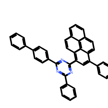 c1ccc(-c2ccc(-c3nc(-c4ccccc4)nc(-c4cc(-c5ccccc5)c5ccc6cccc7ccc4c5c67)n3)cc2)cc1